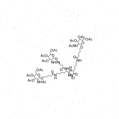 CCNC(=O)C(CCCCNC(=O)CCCCOC1OC(COC(C)=O)C(OC(C)=O)C(OC(C)=O)C1NC(C)=O)NC(=O)C(CCCCNC(=O)CCCCOC1OC(COC(C)=O)C(OC(C)=O)C(OC(C)=O)C1NC(C)=O)NC(=O)CCCCOC1OC(COC(C)=O)C(OC(C)=O)C(OC(C)=O)C1NC(C)=O